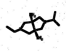 B[C@@]12CN(CC)C[C@]1(B)CN(C(C)C)C2